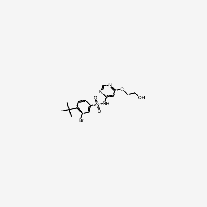 CC(C)(C)c1ccc(S(=O)(=O)Nc2cc(OCCO)ncn2)cc1Br